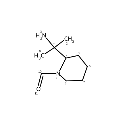 CC(C)(N)C1CCCCN1C=O